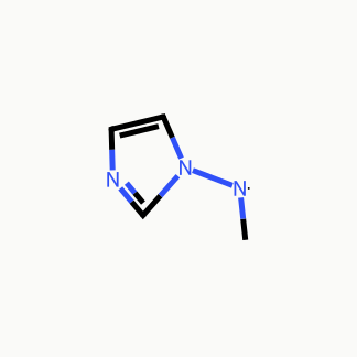 C[N]n1ccnc1